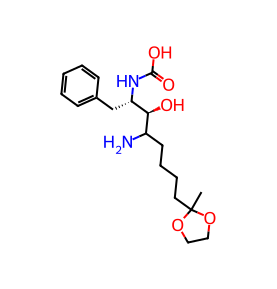 CC1(CCCCC(N)[C@H](O)[C@H](Cc2ccccc2)NC(=O)O)OCCO1